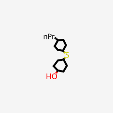 CCCC1CCC(SC2CCC(O)CC2)CC1